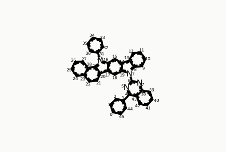 c1ccc(-c2nc(-n3c4ccccc4c4cc5c(cc43)c3ccc4ccccc4c3n5-c3ccccc3)nc3ccccc23)cc1